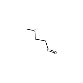 COCCP=O